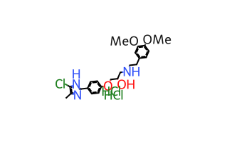 COc1ccc(CCNC[C@H](O)COc2ccc(-c3nc(C)c(Cl)[nH]3)cc2)cc1OC.Cl.Cl